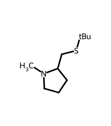 CN1CCCC1CSC(C)(C)C